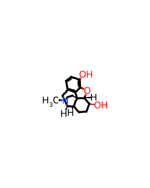 CN1CC[C@@]23c4c5ccc(O)c4O[C@@H]2[C@@H](O)CC[C@@H]3[C@@H]1C5